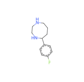 Fc1ccc(C2CCCNCCN2)cc1